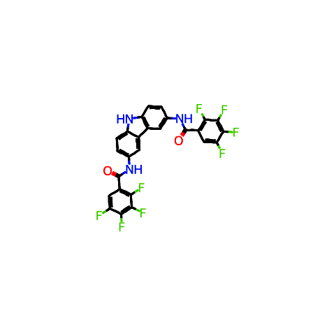 O=C(Nc1ccc2[nH]c3ccc(NC(=O)c4cc(F)c(F)c(F)c4F)cc3c2c1)c1cc(F)c(F)c(F)c1F